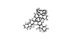 CC1(C)c2ccccc2-c2ccc(N(c3ccc4c(c3)C(C)(C)c3ccccc3-4)c3cccc4c3Oc3ccccc3C43c4ccccc4-c4ccccc43)cc21